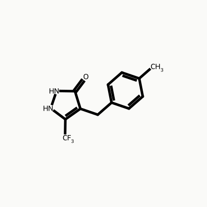 Cc1ccc(Cc2c(C(F)(F)F)[nH][nH]c2=O)cc1